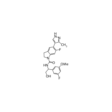 COc1cc(F)cc(C(CO)NC(=O)N2CCc3cc(-c4c[nH]nc4C)c(F)cc32)c1